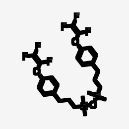 C[Si](C)(CCCc1ccc(OC(F)=C(F)F)cc1)O[Si](C)(C)CCCc1ccc(OC(F)=C(F)F)cc1